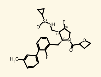 Cc1cccc(-c2cccc(C[C@H]3[C@@H](CN[S+]([O-])C4CC4)[C@@H](F)CN3C(=O)C3CCO3)c2F)c1